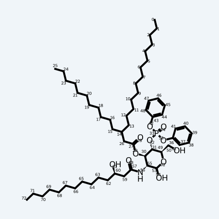 CCCCCCCCCCCCCCC(CCCCCCCCCCC)CC(=O)O[C@H]1[C@H](OP(=O)(Oc2ccccc2)Oc2ccccc2)[C@@H](CO)OC(O)[C@@H]1NC(=O)C[C@H](O)CCCCCCCCCCC